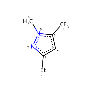 CCc1cc(C(F)(F)F)n(C)n1